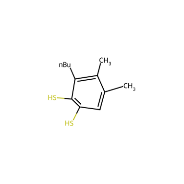 CCCCc1c(C)c(C)cc(S)c1S